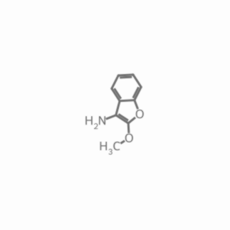 COc1oc2ccccc2c1N